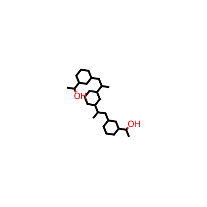 CC(O)C1CCCC(CC(C)C2CCCC(C(C)CC3CCCC(C(C)O)C3)C2)C1